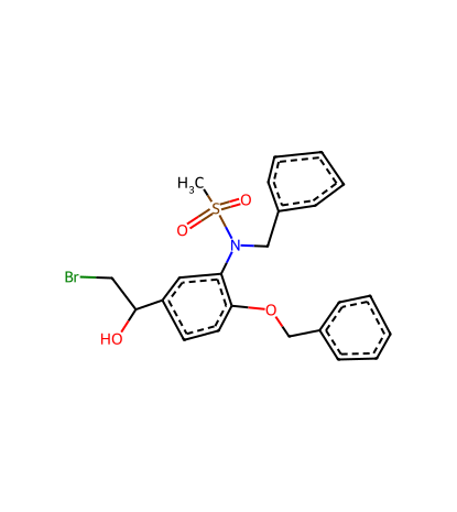 CS(=O)(=O)N(Cc1ccccc1)c1cc(C(O)CBr)ccc1OCc1ccccc1